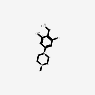 CN1CCN(c2cc(Cl)c(CO)c(Cl)c2)CC1